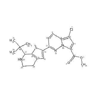 COC(=O)c1cc(Cl)c2ccc(-c3cc4c(s3)C(C(C)(C)C)NCC4)nn12